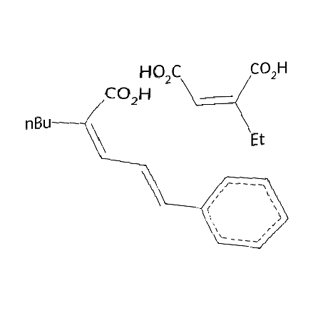 CCC(=CC(=O)O)C(=O)O.CCCCC(=CC=Cc1ccccc1)C(=O)O